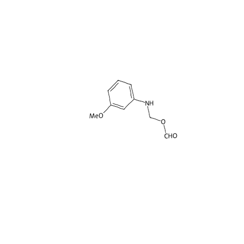 COc1cccc(NCOC=O)c1